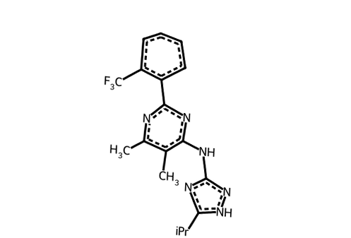 Cc1nc(-c2ccccc2C(F)(F)F)nc(Nc2n[nH]c(C(C)C)n2)c1C